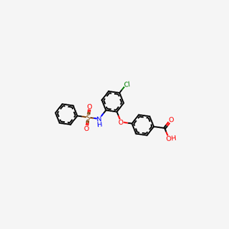 O=C(O)c1ccc(Oc2cc(Cl)ccc2NS(=O)(=O)c2ccccc2)cc1